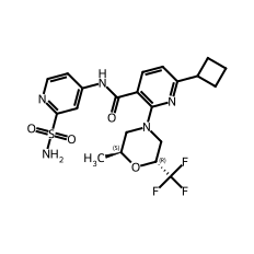 C[C@H]1CN(c2nc(C3CCC3)ccc2C(=O)Nc2ccnc(S(N)(=O)=O)c2)C[C@H](C(F)(F)F)O1